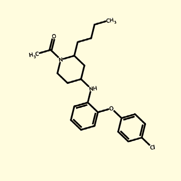 CCCCC1CC(Nc2ccccc2Oc2ccc(Cl)cc2)CCN1C(C)=O